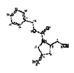 C=C1CC(CC#N)N(C(=O)OCc2ccccc2)C1